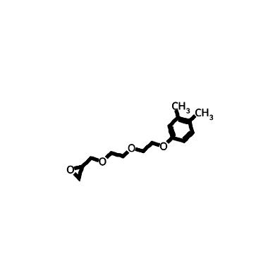 Cc1ccc(OCCOCCOCC2CO2)cc1C